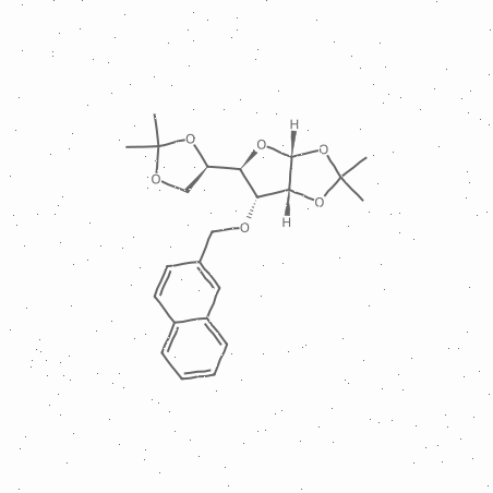 CC1(C)O[C@H]2O[C@H]([C@H]3COC(C)(C)O3)[C@@H](OCc3ccc4ccccc4c3)[C@H]2O1